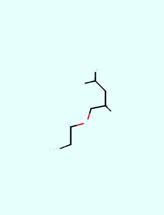 CCCCC(CC)CC(CC)COCCNC